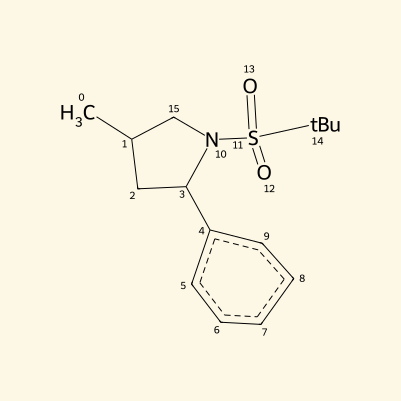 CC1CC(c2ccccc2)N(S(=O)(=O)C(C)(C)C)C1